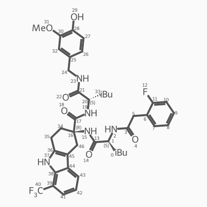 CCC(C)[C@H](NC(=O)Cc1ccccc1F)C(=O)N[C@]1(C(=O)N[C@H](C(=O)NCc2ccc(O)c(OC)c2)C(C)CC)CCc2[nH]c3c(C(F)(F)F)cccc3c2C1